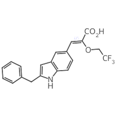 O=C(O)/C(=C/c1ccc2[nH]c(Cc3ccccc3)cc2c1)OCC(F)(F)F